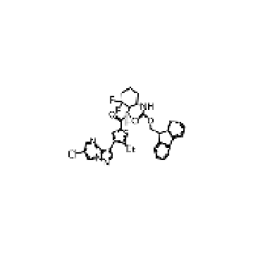 CCc1sc(C(=O)N[C@@H]2[C@@H](NC(=O)OCC3c4ccccc4-c4ccccc43)CCCC2(F)F)cc1-c1cnn2cc(Cl)cnc12